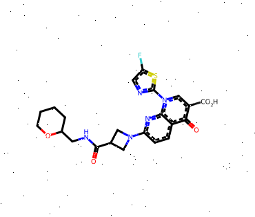 O=C(O)c1cn(-c2ncc(F)s2)c2nc(N3CC(C(=O)NCC4CCCCO4)C3)ccc2c1=O